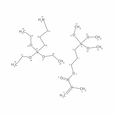 C=C(C)C(=O)OCCC[Si](OC)(OC)OC.CCO[Si](CCCN)(OCC)OCC